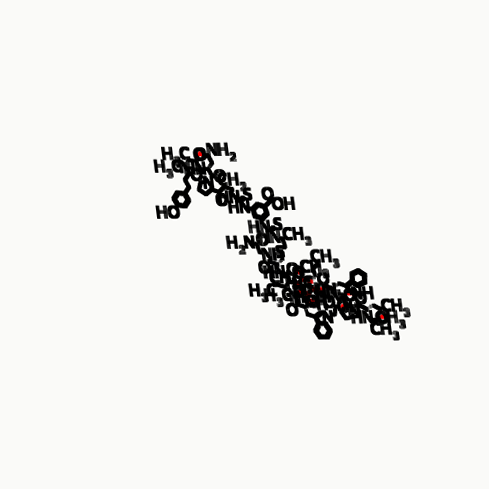 C=C(CNC(=S)Nc1cc(NC(=S)NC(C)CSC[C@H](NC(=O)[C@H](CC(C)C)NC(=O)[C@H](CCCC)N(C)C(=O)[C@H](CCCC)N(C)C(=O)[C@H](Cc2cn(CC(=O)O)c3ccccc23)NC(=O)[C@H](C)NC(=O)[C@H](Cc2c[nH]c3ccccc23)NC(=O)C2CCCN2C(=O)[C@H](CC(C)C)NC(C)=O)C(=O)NCC(N)=O)cc(C(=O)O)c1)C(=O)C1CCCN1C(=O)[C@H](CC(N)=O)NC(=O)[C@H](C)N(C)C(=O)CCc1ccc(O)cc1